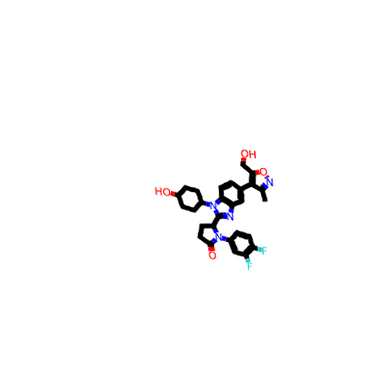 Cc1noc(CO)c1-c1ccc2c(c1)nc(C1CCC(=O)N1c1ccc(F)c(F)c1)n2C1CCC(O)CC1